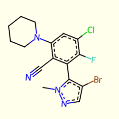 Cn1ncc(Br)c1-c1c(F)c(Cl)cc(N2CCCCC2)c1C#N